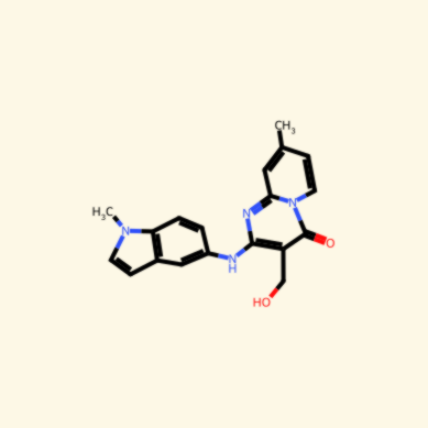 Cc1ccn2c(=O)c(CO)c(Nc3ccc4c(ccn4C)c3)nc2c1